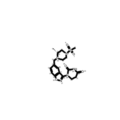 C[C@@H]1CN(S(C)(=O)=O)CCN1Cc1ccc2onc(N3CCC(=O)NC3=O)c2c1